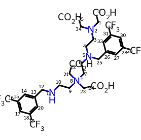 O=C(O)CN(CCN(CC[N+](CCNCc1cc(C(F)(F)F)cc(C(F)(F)F)c1)(CC(=O)O)CC(=O)O)Cc1cc(C(F)(F)F)cc(C(F)(F)F)c1)CC(=O)O